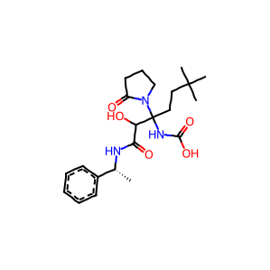 C[C@@H](NC(=O)C(O)C(CCC(C)(C)C)(NC(=O)O)N1CCCC1=O)c1ccccc1